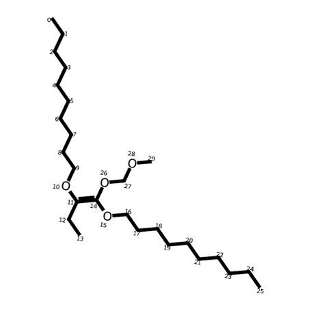 CCCCCCCCCCOC(CC)=C(OCCCCCCCCCC)OCOC